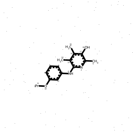 Cc1nc(Nc2cccc(OC(C)C)c2)c(C)c(C)c1O